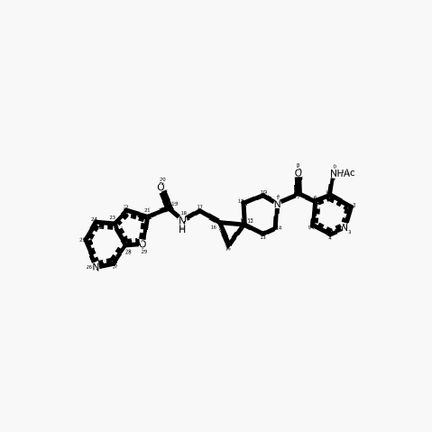 CC(=O)Nc1cnccc1C(=O)N1CCC2(CC1)CC2CNC(=O)c1cc2ccncc2o1